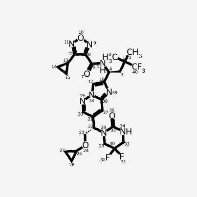 CC(C)(C[C@H](NC(=O)c1nonc1C1CC1)c1cn2ncc([C@@H](COC3CC3)N3CC(F)(F)CNC3=O)cc2n1)C(F)(F)F